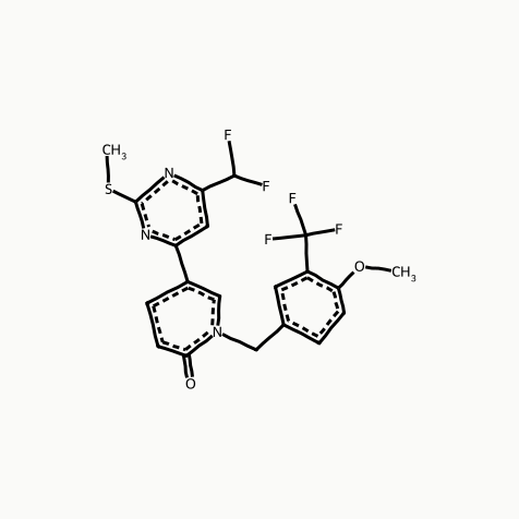 COc1ccc(Cn2cc(-c3cc(C(F)F)nc(SC)n3)ccc2=O)cc1C(F)(F)F